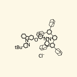 CC(C)(C)c1ccnc(-n2c3ccccc3c3ccc(Oc4cccc(-n5c[n+](-c6c(-c7cc(C89CC%10CC(CC(C%10)C8)C9)cc(C89CC%10CC(CC(C%10)C8)C9)c7)cccc6-c6cc(C78CC9CC(CC(C9)C7)C8)cc(C78CC9CC(CC(C9)C7)C8)c6)c6ccccc65)c4)cc32)c1.[Cl-]